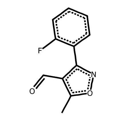 Cc1onc(-c2ccccc2F)c1C=O